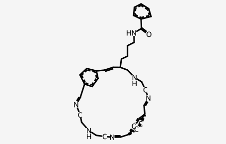 O=C(NCCCCC1/C=C/c2ccc(cc2)/C=N/CCNCC/N=C/c2ccc(cc2)/C=N/CCNC1)c1ccccc1